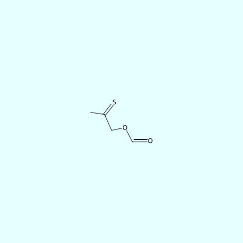 CC(=S)COC=O